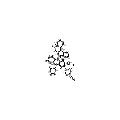 Cc1c(-c2ccc(C#N)cc2)cc2c3c1-c1cccc4c5c6ccccc6ccc5n(c14)B3c1ccccc1N2c1ccccc1